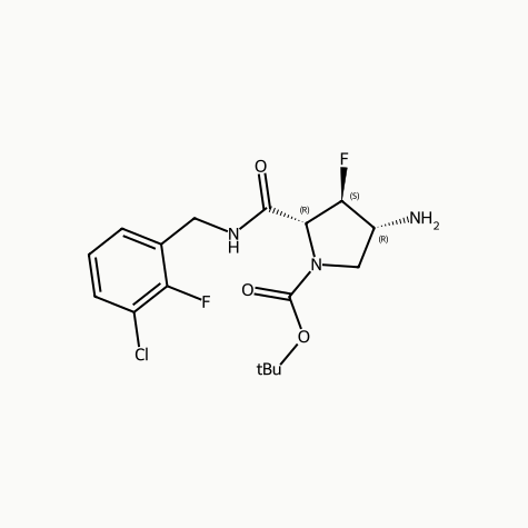 CC(C)(C)OC(=O)N1C[C@@H](N)[C@H](F)[C@H]1C(=O)NCc1cccc(Cl)c1F